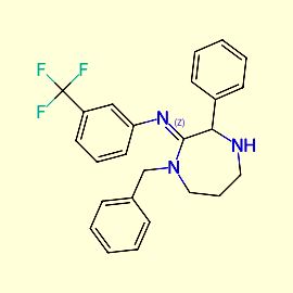 FC(F)(F)c1cccc(/N=C2/C(c3ccccc3)NCCCN2Cc2ccccc2)c1